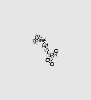 CC(=O)O[C@H]1C[C@H](ONC(=O)c2cnc(N3CCC(CN(Cc4cn(C)c5ccccc45)C(=O)OCC4c5ccccc5-c5ccccc54)CC3)nc2)O[C@@H](C)[C@H]1C